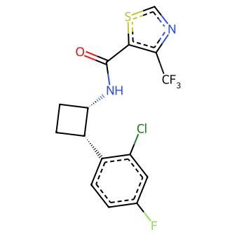 O=C(N[C@H]1CC[C@H]1c1ccc(F)cc1Cl)c1scnc1C(F)(F)F